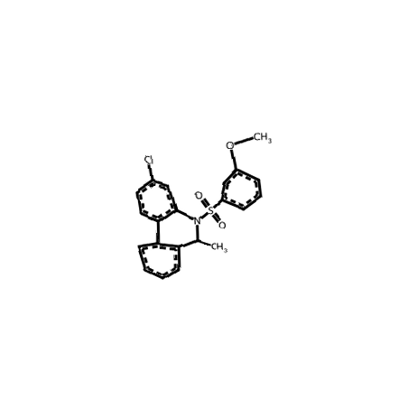 COc1cccc(S(=O)(=O)N2c3cc(Cl)ccc3-c3ccccc3C2C)c1